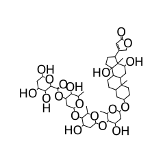 CC1OC(OC2C(O)CC(OC3C(O)CC(OC4CCC5(C)C(CCC6C5CC(O)C5(C)C(C7=CC(=O)OC7)CCC65O)C4)OC3C)OC2C)CC(OC(=O)C2OC(O)CC(O)C2O)C1O